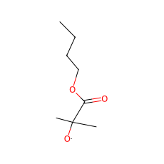 CCCCOC(=O)C(C)(C)[O]